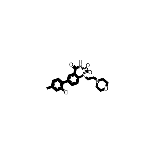 Cc1ccc(-c2ccc3c(c2)C(=O)NS(=O)(=O)N3CCN2CCOCC2)c(Cl)c1